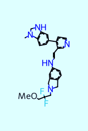 COCC(F)(F)CN1Cc2ccc(N/C=C/c3cnccc3-c3ccc4c(c3)NCN4C)cc2C1